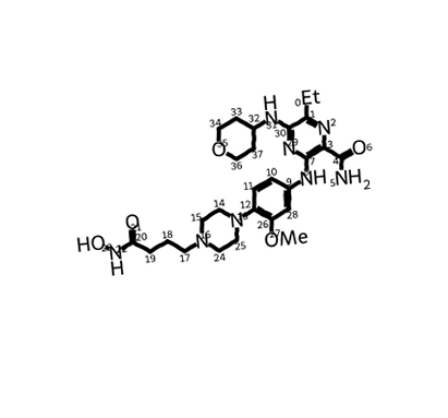 CCc1nc(C(N)=O)c(Nc2ccc(N3CCN(CCCC(=O)NO)CC3)c(OC)c2)nc1NC1CCOCC1